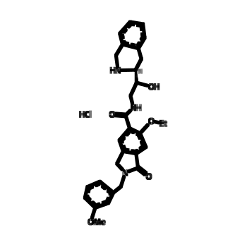 CCOc1cc2c(cc1C(=O)NCC(O)[C@@H]1Cc3ccccc3CN1)CN(Cc1cccc(OC)c1)C2=O.Cl